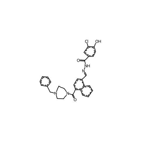 O=C(N/N=C/c1ccc(C(=O)N2CCN(Cc3ccccc3)CC2)c2ccccc12)c1ccc(O)c(Cl)c1